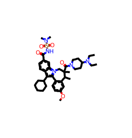 CCN(CC)C1CCN(C(=O)C2(C)Cn3c(c(C4CCCCC4)c4ccc(C(=O)NS(=O)(=O)N(C)C)cc43)-c3ccc(OC)cc3C2C)CC1